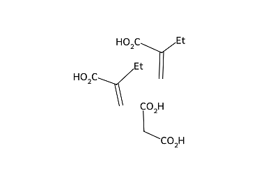 C=C(CC)C(=O)O.C=C(CC)C(=O)O.O=C(O)CC(=O)O